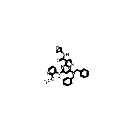 O=C(NC1COC1)c1cnn2c(N(Cc3ccccc3)Cc3ccccc3)cc(Nc3cccnc3OC(F)(F)F)nc12